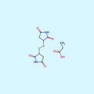 CCC(=O)O.O=C1CC(SSC2CC(=O)NC2=O)C(=O)N1